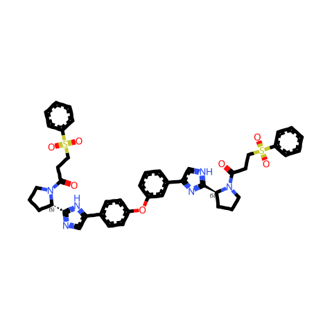 O=C(CCS(=O)(=O)c1ccccc1)N1CCC[C@H]1c1nc(-c2cccc(Oc3ccc(-c4cnc([C@@H]5CCCN5C(=O)CCS(=O)(=O)c5ccccc5)[nH]4)cc3)c2)c[nH]1